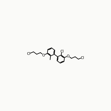 Cc1c(OCCCCl)cccc1-c1cccc(OCCCCl)c1Cl